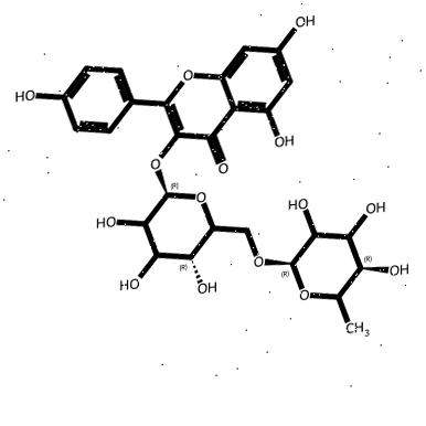 CC1O[C@@H](OCC2O[C@H](Oc3c(-c4ccc(O)cc4)oc4cc(O)cc(O)c4c3=O)C(O)C(O)[C@H]2O)C(O)C(O)[C@H]1O